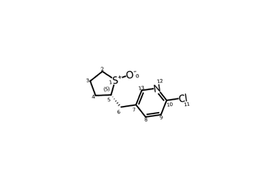 [O-][S+]1CCC[C@H]1Cc1ccc(Cl)nc1